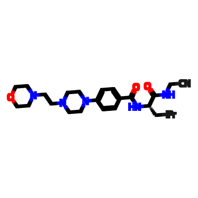 CC(C)C[C@H](NC(=O)c1ccc(N2CCN(CCN3CCOCC3)CC2)cc1)C(=O)NCC#N